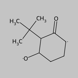 CC(C)(C)C1C(=O)[CH]CCC1[O]